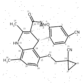 COc1cc(C#N)ccc1[C@H]1C(C(N)=O)=C(C)Nc2c(C)cnc(OCC3(C#N)CC3)c21